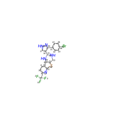 FC(F)(F)c1ccc2c3c(sc2n1)CNC(c1c[nH]nc1-c1ccc(Br)cc1)N3